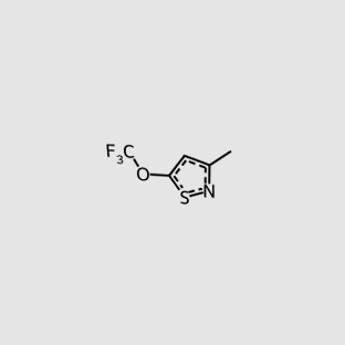 Cc1cc(OC(F)(F)F)sn1